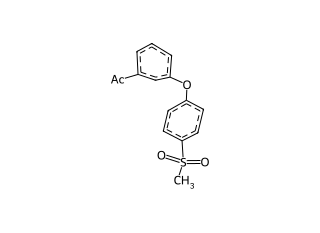 CC(=O)c1cccc(Oc2ccc(S(C)(=O)=O)cc2)c1